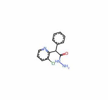 NNC(=O)C(c1ccccc1)c1ncccc1Cl